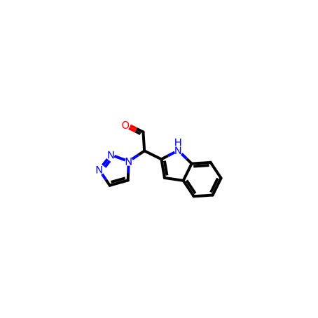 O=CC(c1cc2ccccc2[nH]1)n1ccnn1